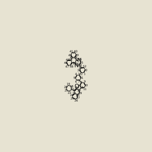 c1cc(-c2cccc(-c3cccc4c3oc3c(C5CCCCC5)c5ccccc5cc34)c2)cc(-c2cnc3c4ccccc4c4ccccc4c3n2)c1